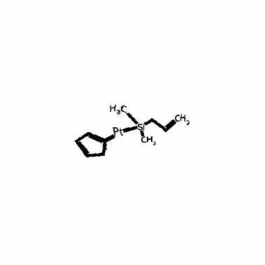 C=CC[Si](C)(C)[Pt][C]1=CC=CC1